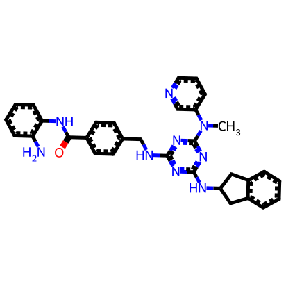 CN(c1cccnc1)c1nc(NCc2ccc(C(=O)Nc3ccccc3N)cc2)nc(NC2Cc3ccccc3C2)n1